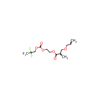 C=CCOCC(=C)C(=O)OCCOC(=O)OCC(F)(F)C(F)(F)F